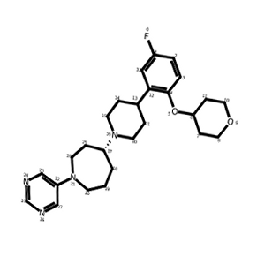 Fc1ccc(OC2CCOCC2)c(C2CCN([C@@H]3CCCN(c4cncnc4)CC3)CC2)c1